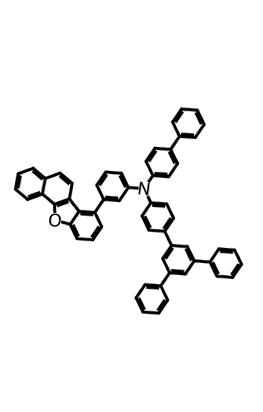 c1ccc(-c2ccc(N(c3ccc(-c4cc(-c5ccccc5)cc(-c5ccccc5)c4)cc3)c3cccc(-c4cccc5oc6c7ccccc7ccc6c45)c3)cc2)cc1